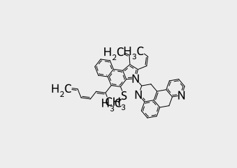 C=C/C=C\C=C(/C)c1c(SC)c2c(c(C=C)c(/C=C\C)n2C2CC3=c4c(cccc4=N2)Cc2ncccc23)c2ccccc12